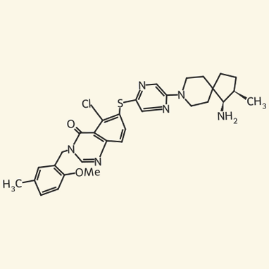 COc1ccc(C)cc1Cn1cnc2ccc(Sc3cnc(N4CCC5(CC[C@@H](C)[C@H]5N)CC4)cn3)c(Cl)c2c1=O